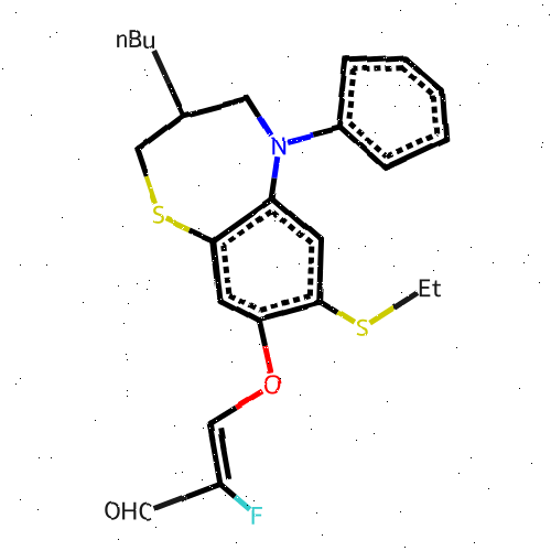 CCCCC1CSc2cc(O/C=C(\F)C=O)c(SCC)cc2N(c2ccccc2)C1